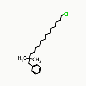 CC(C)(CCCCCCCCCCCCCCl)Cc1ccccc1